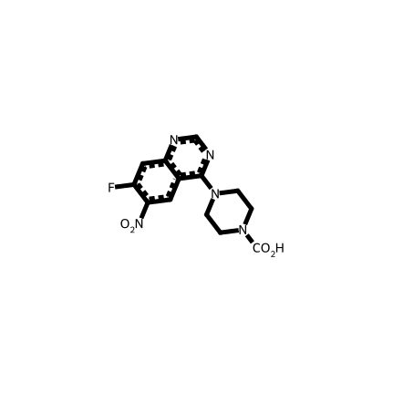 O=C(O)N1CCN(c2ncnc3cc(F)c([N+](=O)[O-])cc23)CC1